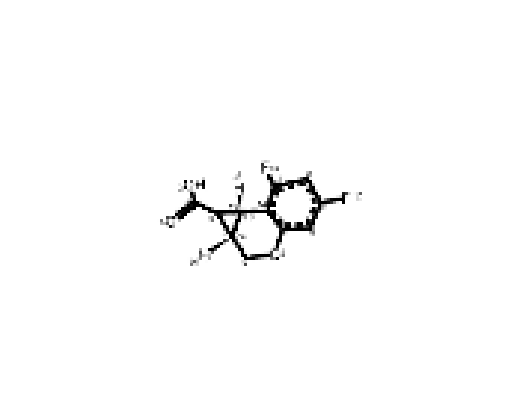 O=C(O)C1[C@H]2COc3cc(F)cc(F)c3[C@@H]12